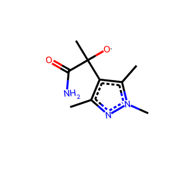 Cc1nn(C)c(C)c1C(C)([O])C(N)=O